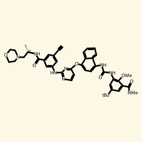 C#Cc1cc(Nc2nccc(Oc3ccc(NC(=O)Nc4cc(C(C)(C)C)cc(C(=O)NC)c4OC)c4ccccc34)n2)cc(C(=O)N[C@@H](C)CN2CCOCC2)c1